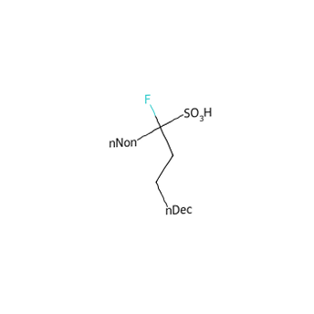 CCCCCCCCCCCCC(F)(CCCCCCCCC)S(=O)(=O)O